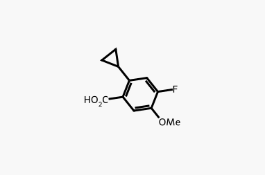 COc1cc(C(=O)O)c(C2CC2)cc1F